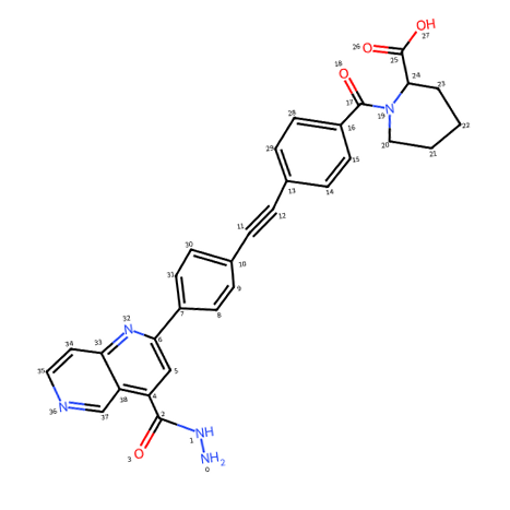 NNC(=O)c1cc(-c2ccc(C#Cc3ccc(C(=O)N4CCCCC4C(=O)O)cc3)cc2)nc2ccncc12